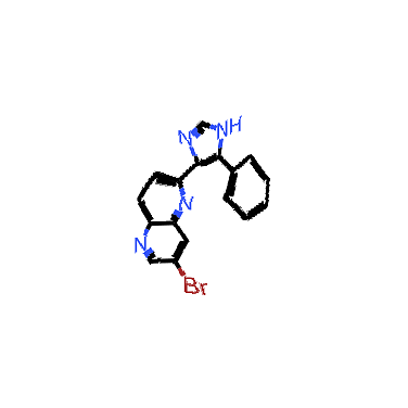 Brc1cnc2ccc(-c3nc[nH]c3-c3ccccc3)nc2c1